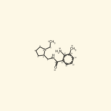 CCN1CCCC1CNC(=O)c1cccc(C)c1N